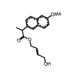 COc1ccc2cc(C(C)C(=O)OCC=CCO)ccc2c1